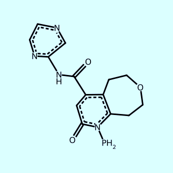 O=C(Nc1cnccn1)c1cc(=O)n(P)c2c1CCOCC2